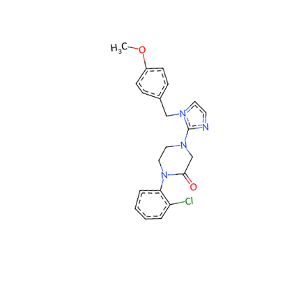 COc1ccc(Cn2ccnc2N2CCN(c3ccccc3Cl)C(=O)C2)cc1